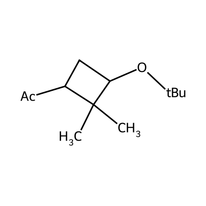 CC(=O)C1CC(OC(C)(C)C)C1(C)C